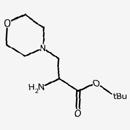 CC(C)(C)OC(=O)C(N)CN1CCOCC1